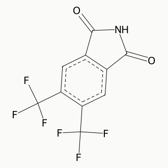 O=C1NC(=O)c2cc(C(F)(F)F)c(C(F)(F)F)cc21